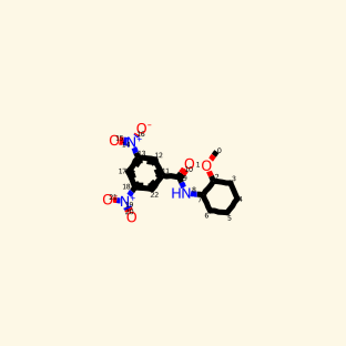 COC1CCCCC1NC(=O)c1cc([N+](=O)[O-])cc([N+](=O)[O-])c1